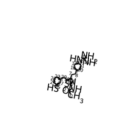 CC(=O)Nc1nc(CCc2ccc(NC(=N)N)cc2)c(Cc2cccc(S)c2)s1